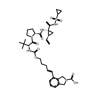 C=C[C@@H]1C[C@]1(NC(=O)[C@@H]1CCCN1C(=O)[C@@H](NC(=O)OCCC/C=C/c1cccc2c1CN(C(=O)O)C2)C(C)(C)C)C(=C)NS(=O)(=O)C1CC1